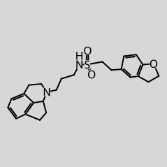 O=S(=O)(CCc1ccc2c(c1)CCO2)NCCCN1CCc2cccc3c2C1CC3